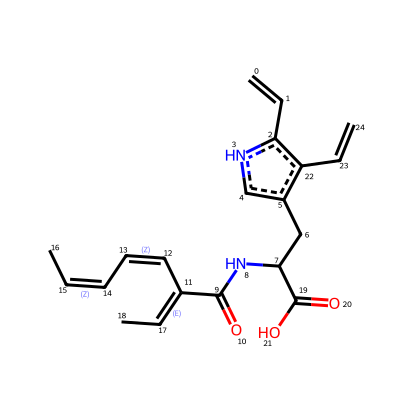 C=Cc1[nH]cc(CC(NC(=O)C(/C=C\C=C/C)=C/C)C(=O)O)c1C=C